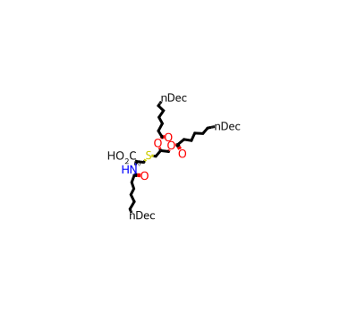 CCCCCCCCCCCCCCCC(=O)N[C@@H](CSCC(COC(=O)CCCCCCCCCCCCCCC)OC(=O)CCCCCCCCCCCCCCC)C(=O)O